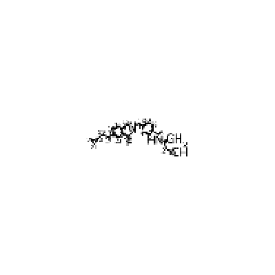 C#CCC(=C)NCc1ccc(CN2Cc3ccc(CCC4CC4)cc3C(F)C2)cc1